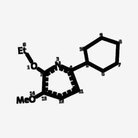 CCOc1nc(C2CCCCC2)ccc1OC